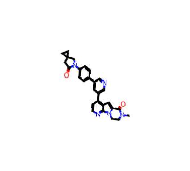 CN1CCn2c(cc3c(-c4cncc(-c5ccc(N6CC7(CC7)CC6=O)cc5)c4)ccnc32)C1=O